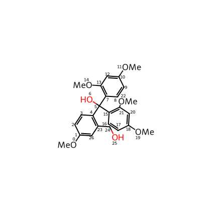 COc1ccc(C(O)(c2ccc(OC)cc2OC)c2ccc(OC)cc2OC)c(CO)c1